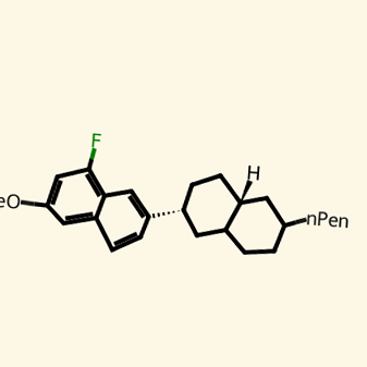 CCCCCC1CCC2C[C@H](c3ccc4cc(OC)cc(F)c4c3)CC[C@@H]2C1